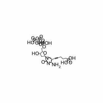 Nc1nc(=O)n(C2CC(O)C(COP(=O)(O)OP(=O)(O)OP(=O)(O)O)O2)cc1C#CCCCP(=O)(O)O